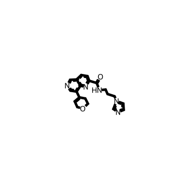 O=C(NCCCn1ccnc1)c1ccc2cncc(C3=CCOCC3)c2n1